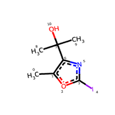 Cc1oc(I)nc1C(C)(C)O